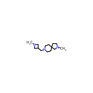 CN1CC(CN2CCC3(CCN(C)C3)CC2)C1